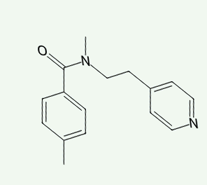 Cc1ccc(C(=O)N(C)CCc2ccncc2)cc1